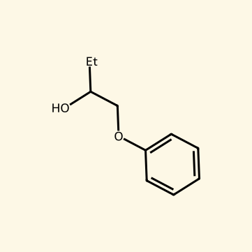 CCC(O)COc1ccccc1